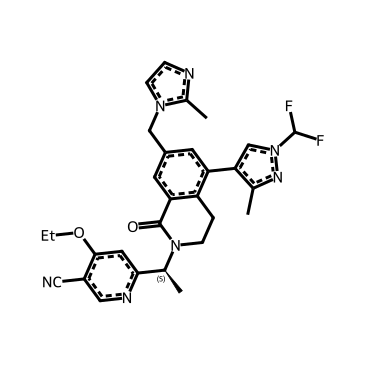 CCOc1cc([C@H](C)N2CCc3c(cc(Cn4ccnc4C)cc3-c3cn(C(F)F)nc3C)C2=O)ncc1C#N